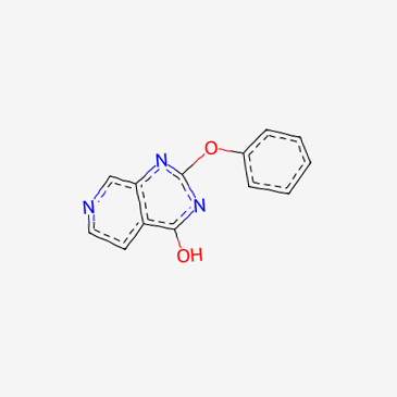 Oc1nc(Oc2ccccc2)nc2cnccc12